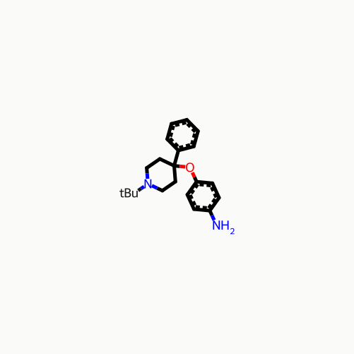 CC(C)(C)N1CCC(Oc2ccc(N)cc2)(c2ccccc2)CC1